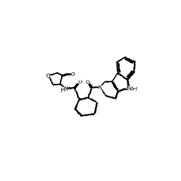 O=C1COCC1NC(=O)C1CCCCC1C(=O)N1CCc2[nH]c3ccccc3c2C1